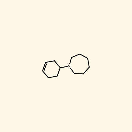 C1=CCC(N2CCCCCC2)CC1